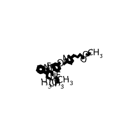 CCOC(=O)CCCc1ccc(COc2cc(F)c([C@@H]3c4[nH]c5ccccc5c4C[C@@H](C)N3CC(C)(C)F)c(F)c2)nc1